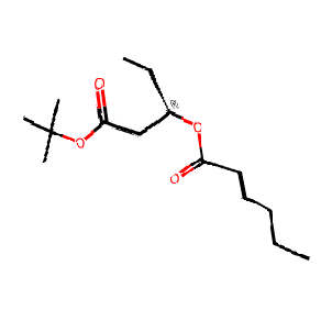 CCCCCC(=O)O[C@H](CC)CC(=O)OC(C)(C)C